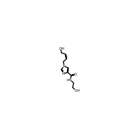 O=C(NCCO)c1cn(C/C=C\CO)cn1